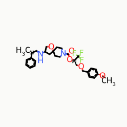 COc1ccc(COC[C@@H](OC(=O)N2CCC3(CC2)CC(NC[C@@H](C)c2ccccc2)CO3)C(F)(F)F)cc1